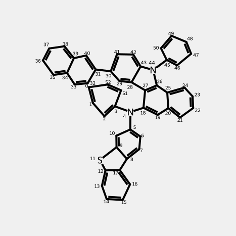 c1ccc(N(c2ccc3c(c2)sc2ccccc23)c2cc3ccccc3c3c2c2cc(-c4ccc5ccccc5c4)ccc2n3-c2ccccc2)cc1